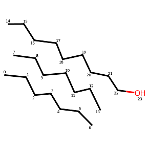 CCCCCCC.CCCCCCC.CCCCCCCCCO